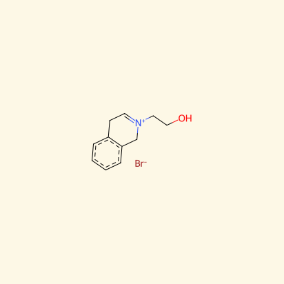 OCC[N+]1=CCc2ccccc2C1.[Br-]